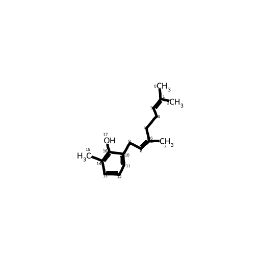 CC(C)=CCCC(C)=CCc1cccc(C)c1O